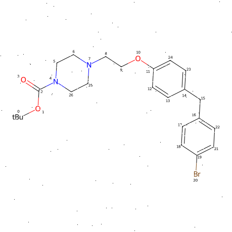 CC(C)(C)OC(=O)N1CCN(CCOc2ccc(Cc3ccc(Br)cc3)cc2)CC1